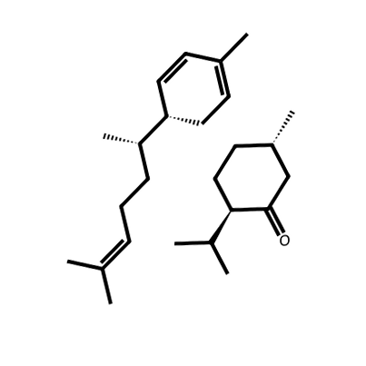 CC(C)=CCC[C@H](C)[C@@H]1C=CC(C)=CC1.CC(C)[C@H]1CC[C@H](C)CC1=O